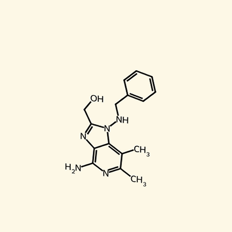 Cc1nc(N)c2nc(CO)n(NCc3ccccc3)c2c1C